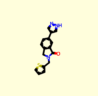 O=C1c2cc(-c3cn[nH]c3)ccc2CN1Cc1cccs1